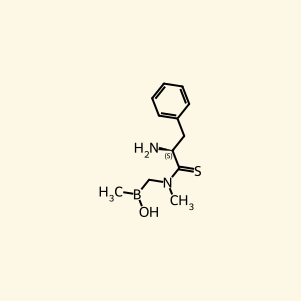 CB(O)CN(C)C(=S)[C@@H](N)Cc1ccccc1